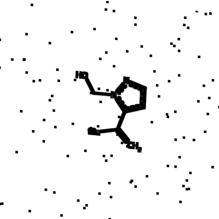 C=C(c1ccnn1CO)C(C)(C)C